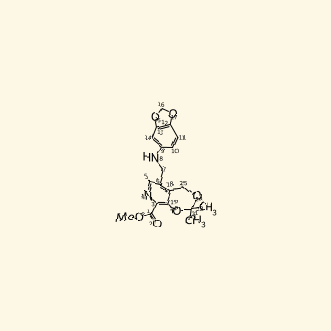 COC(=O)c1ncc(CNc2ccc3c(c2)OCO3)c2c1OC(C)(C)OC2